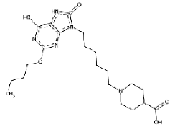 CCCCOc1nc(O)c2[nH]c(=O)n(CCCCCCN3CCC(C(=O)O)CC3)c2n1